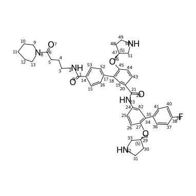 O=C(NCCCC(=O)N1CCCCC1)c1ccc(-c2cc(C(=O)Nc3ccc(O[C@H]4CCNC4)c(-c4ccc(F)cc4)c3)ccc2O[C@H]2CCNC2)cc1